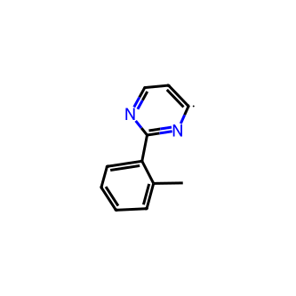 Cc1ccccc1-c1n[c]ccn1